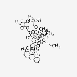 CCCCOC(=O)C(C)(CC(C)(CC(C)(CC(C)(C)CC)C(=O)OCc1c2ccccc2cc2ccccc12)C(=O)OCOC(=O)C(C)=O)CC(C)(C(=O)OCC(C)O)C(C)(C)CP